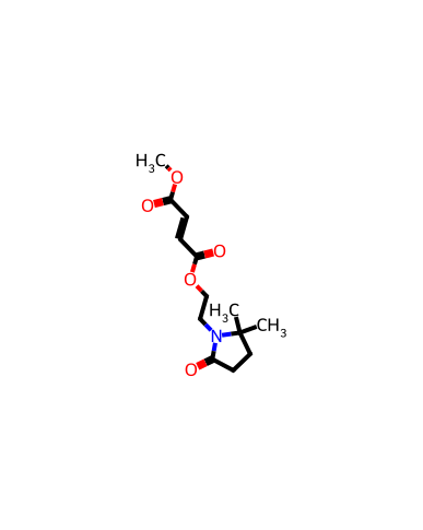 COC(=O)C=CC(=O)OCCN1C(=O)CCC1(C)C